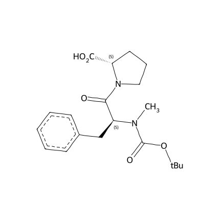 CN(C(=O)OC(C)(C)C)[C@@H](Cc1ccccc1)C(=O)N1CCC[C@H]1C(=O)O